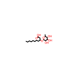 CCCCCCCCC(CC(=O)O)O[C@@H]1OC(C)[C@H](O)C(O)[C@@H]1O